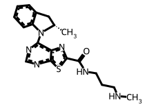 CNCCCNC(=O)c1nc2c(N3c4ccccc4C[C@@H]3C)ncnc2s1